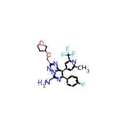 Cc1cc(-c2c(-c3ccc(F)cc3)nc(N)n3nc(COC4CCOC4)nc23)cc(C(F)(F)F)n1